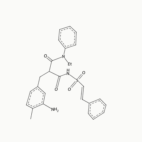 CCN(C(=O)C(Cc1ccc(C)c(N)c1)C(=O)NS(=O)(=O)C=Cc1ccccc1)c1ccccc1